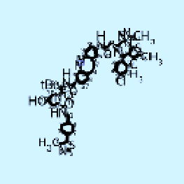 Cc1ncsc1-c1ccc(CNC(=O)[C@@H]2C[C@@H](O)CN2C(=O)[C@@H](NC(=O)c2ccc3c(c2)/N=N\c2ccc(NC(=O)C[C@@H]4N=C(c5ccc(Cl)cc5)c5c(sc(C)c5C)-n5c(C)nnc54)cc2CC3)C(C)(C)C)cc1